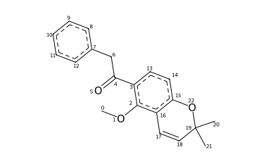 COc1c(C(=O)Cc2ccccc2)ccc2c1C=CC(C)(C)O2